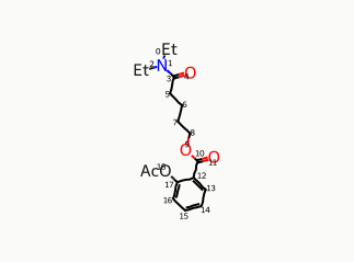 CCN(CC)C(=O)CCCCOC(=O)c1ccccc1OC(C)=O